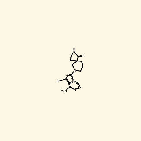 Nc1nccn2c(N3CCCC4(CCNC4=O)C3)nc(Br)c12